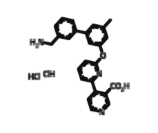 Cc1cc(Oc2cccc(-c3ccncc3C(=O)O)n2)cc(-c2cccc(CN)c2)c1.Cl.Cl